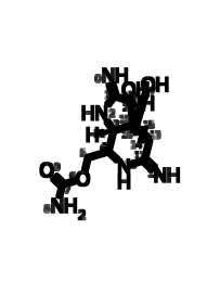 N=C1N[C@H]2C(COC(N)=O)NC(=N)C3CCC(O)(O)[C@@]32N1